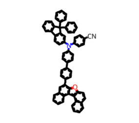 N#Cc1ccc(N(c2ccc(-c3ccc(-c4cc5ccccc5c5c4oc4ccc6ccccc6c45)cc3)cc2)c2ccc3c(c2)C(c2ccccc2)(c2ccccc2)c2ccccc2-3)cc1